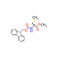 COC(=O)[C@H](CSC)NC(=O)OCC1c2ccccc2-c2ccccc21